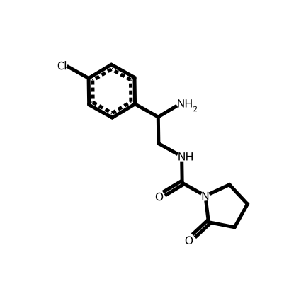 NC(CNC(=O)N1CCCC1=O)c1ccc(Cl)cc1